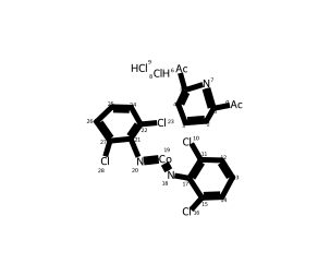 CC(=O)c1cccc(C(C)=O)n1.Cl.Cl.Clc1cccc(Cl)c1[N]=[Co]=[N]c1c(Cl)cccc1Cl